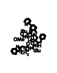 CCC(C)C(NC(=O)OC)C(=O)NN(Cc1ccc(-c2ccccn2)cc1)CC(O)C(Cc1ccccc1)NC(=O)C(N1CCN(Cc2nc3ccccc3n2C)C1=O)C(C)(C)C